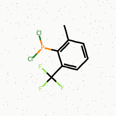 Cc1cccc(C(F)(F)F)c1P(Cl)Cl